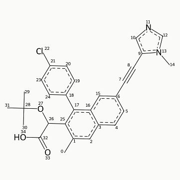 Cc1cc2ccc(C#Cc3cncn3C)cc2c(-c2ccc(Cl)cc2)c1C(OC(C)(C)C)C(=O)O